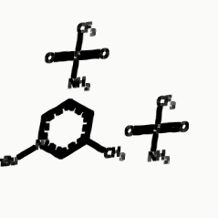 CCCC[n+]1cccc(C)c1.NS(=O)(=O)C(F)(F)F.NS(=O)(=O)C(F)(F)F